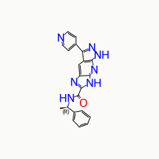 C[C@@H](NC(=O)c1nc2cc3c(-c4ccncc4)n[nH]c3nc2[nH]1)c1ccccc1